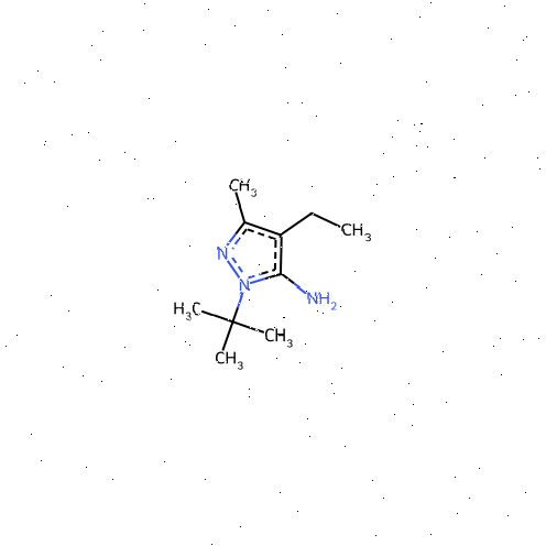 CCc1c(C)nn(C(C)(C)C)c1N